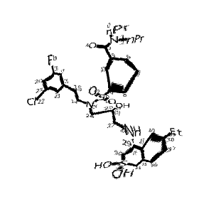 CCCN(CCC)C(=O)c1cccc(S(=O)(=O)N(CCc2cc(F)cc(Cl)c2)C[C@@H](O)CN[C@H]2CS(O)(O)Cc3ccc(CC)cc32)c1